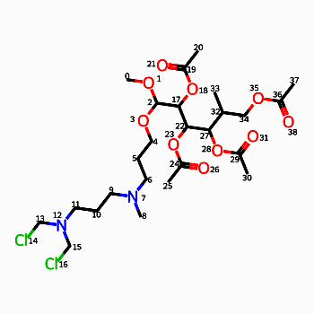 COC(OCCCN(C)CCCN(CCl)CCl)C(OC(C)=O)C(OC(C)=O)C(OC(C)=O)C(C)COC(C)=O